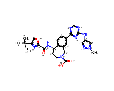 Cn1cc(Nc2ncnc(-c3ccc4c(c3)CN(C(=O)O)CC[C@H]4NC(=O)c3nc(C(C)(C)C)co3)n2)cn1